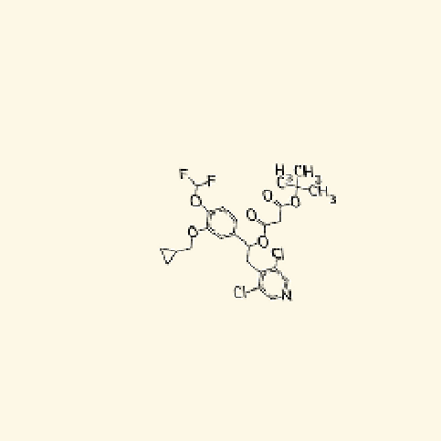 CC(C)(C)OC(=O)CC(=O)OC(Cc1c(Cl)cncc1Cl)c1ccc(OC(F)F)c(OCC2CC2)c1